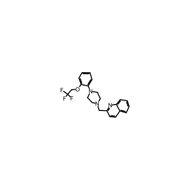 FC(F)(F)COc1ccccc1N1CCN(Cc2ccc3ccccc3n2)CC1